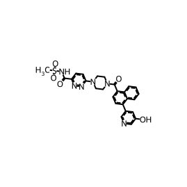 CS(=O)(=O)NC(=O)c1ccc(N2CCN(C(=O)c3ccc(-c4cncc(O)c4)c4ccccc34)CC2)nn1